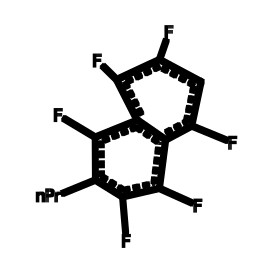 [CH2][CH]Cc1c(F)c(F)c2c(F)cc(F)c(F)c2c1F